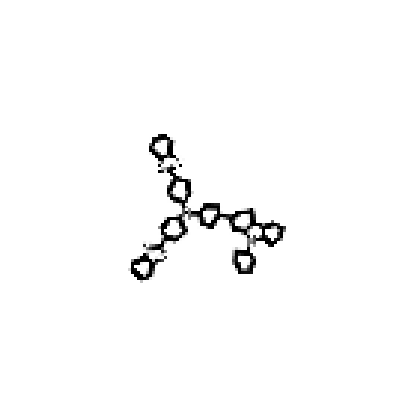 c1ccc(-n2c3ccccc3c3ccc(-c4ccc(N(c5ccc(-c6nc7ccccc7s6)cc5)c5ccc(-c6nc7ccccc7s6)cc5)cc4)cc32)cc1